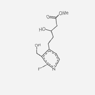 COC(=O)CC(O)CCc1ccnc(F)c1CO